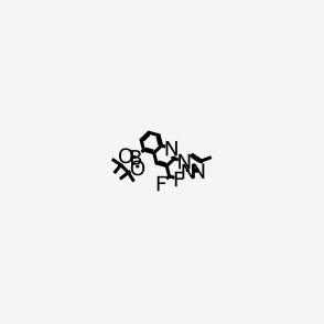 Cc1cn(-c2nc3cccc(B4OC(C)(C)C(C)(C)O4)c3cc2C(F)F)nn1